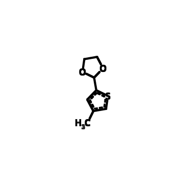 Cc1csc(C2OCCO2)c1